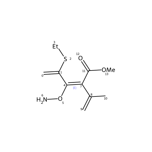 C=C(SCC)/C(ON)=C(/C(=C)C)C(=O)OC